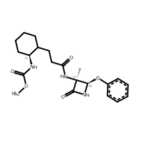 CC(C)(C)OC(=O)N[C@H]1CCCCC1CCC(=O)N[C@]1(C)C(=O)N[C@@H]1Oc1ccccc1